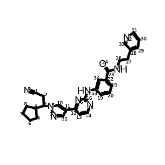 N#CCC(C1CCCC1)n1cc(-c2ccnc(Nc3cccc(C(=O)NCCc4cccnc4)c3)n2)cn1